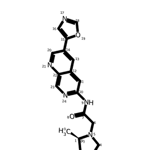 C[C@@H]1CCCN1CC(=O)Nc1cc2cc(-c3cnco3)cnc2cn1